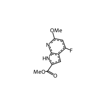 COC(=O)c1cc2c(F)cc(OC)nc2[nH]1